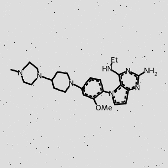 CCNc1nc(N)nc2ccn(-c3ccc(N4CCC(N5CCN(C)CC5)CC4)cc3OC)c12